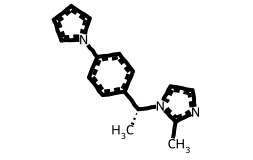 Cc1nccn1[C@H](C)c1ccc(-n2cccc2)cc1